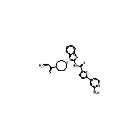 C=CC(=O)N1CCC[C@@H](n2c(NC(=O)c3ccc(-c4ccnc(NC)c4)s3)nc3ccccc32)CC1